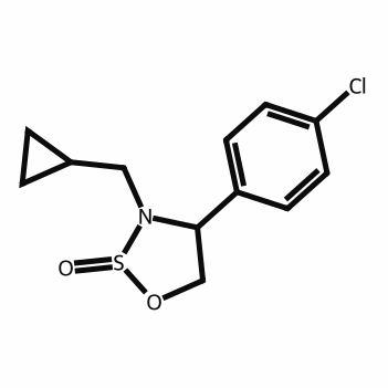 O=S1OCC(c2ccc(Cl)cc2)N1CC1CC1